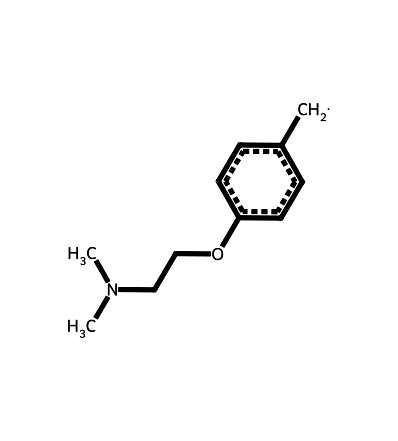 [CH2]c1ccc(OCCN(C)C)cc1